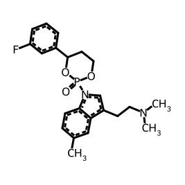 Cc1ccc2c(c1)c(CCN(C)C)cn2P1(=O)OCCC(c2cccc(F)c2)O1